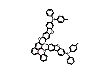 Cc1ccc(N(c2ccccc2)c2ccc3c(c2)oc2cc4c(cc23)Oc2cccc3c2B4c2cc4oc5cc(N(c6ccccc6)c6ccc(C)cc6)ccc5c4cc2N3c2ccccc2-c2ccccc2)cc1